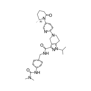 CC(C)n1nc(C(=O)NCc2ccc(NC(=O)N(C)C)cc2)c2c1CCN(c1ccc(N3C(=O)CCC[C@H]3C)cn1)C2